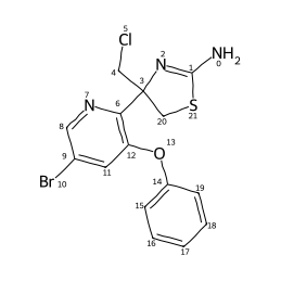 NC1=NC(CCl)(c2ncc(Br)cc2Oc2ccccc2)CS1